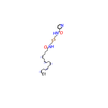 CC/C=C\C/C=C\C/C=C\C/C=C\C/C=C\CCCC(=O)NCCSSCCNC(=O)c1cccnc1